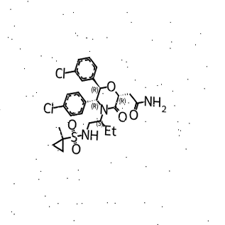 CC[C@@H](CNS(=O)(=O)C1(C)CC1)N1C(=O)[C@@H](CC(N)=O)O[C@H](c2cccc(Cl)c2)[C@H]1c1ccc(Cl)cc1